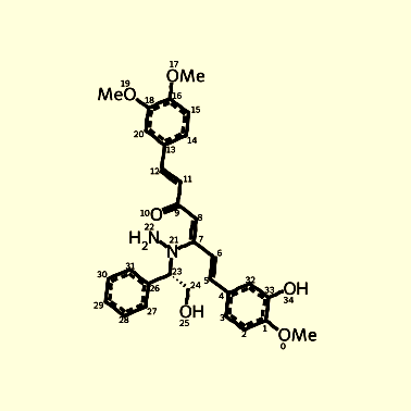 COc1ccc(/C=C/C(=C/C(=O)/C=C/c2ccc(OC)c(OC)c2)N(N)[C@H](CO)c2ccccc2)cc1O